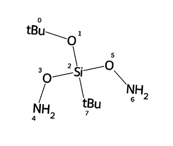 CC(C)(C)O[Si](ON)(ON)C(C)(C)C